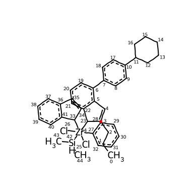 CCCC1=Cc2c(-c3ccc(C4CCCCC4)cc3)cccc2[CH]1[Zr]([Cl])([Cl])([c]1ccccc1)([CH]1C=Cc2ccccc21)[SiH](C)C